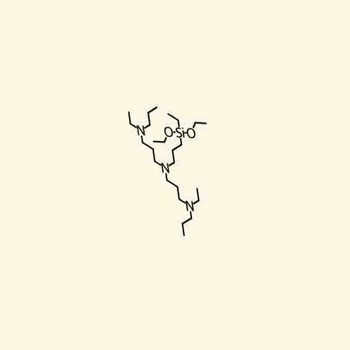 CCCN(CC)CCCN(CCCN(CC)CCC)CCC[Si](CC)(OCC)OCC